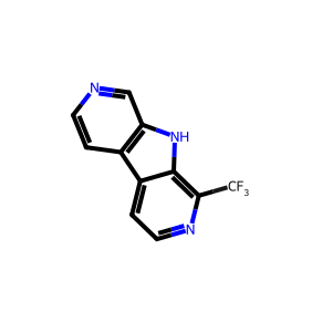 FC(F)(F)c1nccc2c1[nH]c1cnccc12